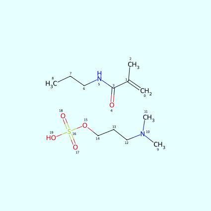 C=C(C)C(=O)NCCC.CN(C)CCCOS(=O)(=O)O